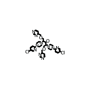 O=C(C(COCc1ccncn1)N1CCN(c2ccc(Cl)cn2)CC1)C(COCc1ccncn1)N1CCN(c2ccc(Cl)cn2)CC1